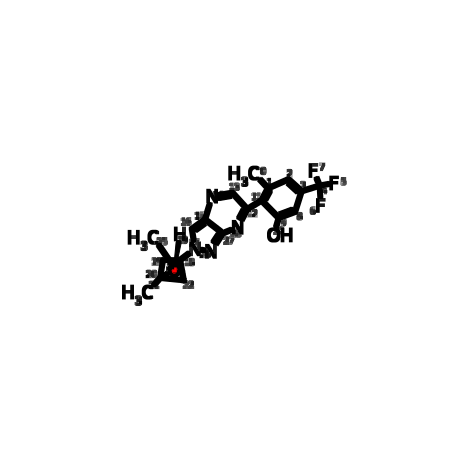 Cc1cc(C(F)(F)F)cc(O)c1-c1cnc2cn(C34CC(C)(C3)O[C@H]4C)nc2n1